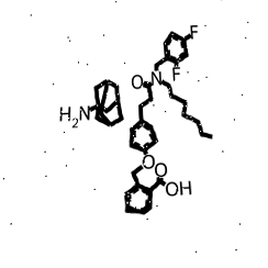 CCCCCCCN(Cc1ccc(F)cc1F)C(=O)CCc1ccc(OCc2ccccc2C(=O)O)cc1.NC12CC3CC(CC(C3)C1)C2